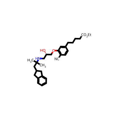 CCOC(=O)CCCCc1ccc(C#N)c(OC[C@@H](O)CNC(C)(C)CC2Cc3ccccc3C2)c1